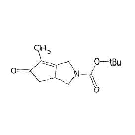 CC1=C2CN(C(=O)OC(C)(C)C)CC2CC1=O